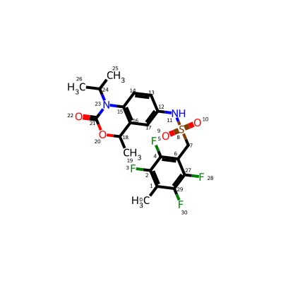 Cc1c(F)c(F)c(CS(=O)(=O)Nc2ccc3c(c2)C(C)OC(=O)N3C(C)C)c(F)c1F